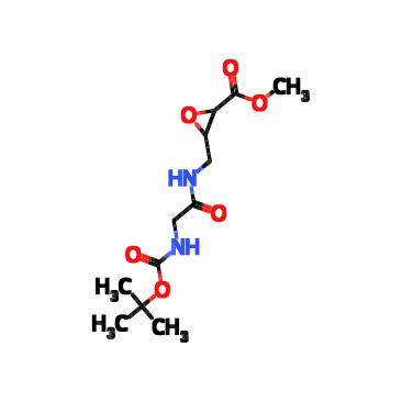 COC(=O)C1OC1CNC(=O)CNC(=O)OC(C)(C)C